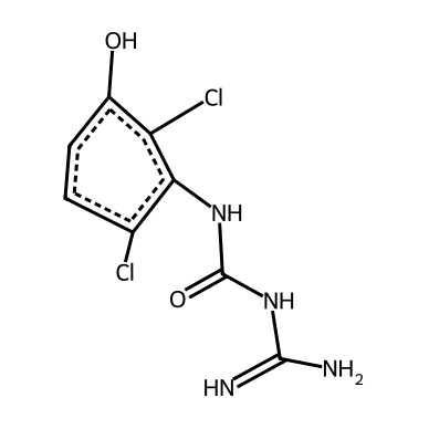 N=C(N)NC(=O)Nc1c(Cl)ccc(O)c1Cl